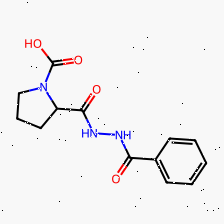 O=C(NNC(=O)C1CCCN1C(=O)O)c1ccccc1